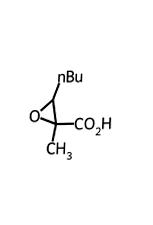 CCCCC1OC1(C)C(=O)O